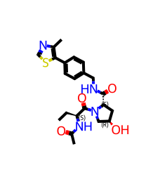 CC[C@H](NC(C)=O)C(=O)N1C[C@H](O)C[C@H]1C(=O)NCc1ccc(-c2scnc2C)cc1